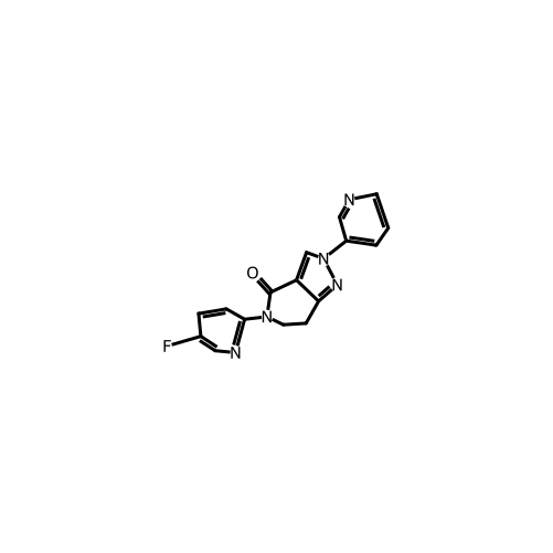 O=C1c2cn(-c3cccnc3)nc2CCN1c1ccc(F)cn1